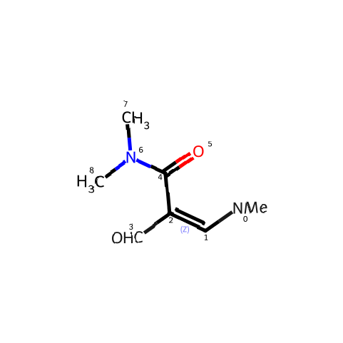 CN/C=C(/C=O)C(=O)N(C)C